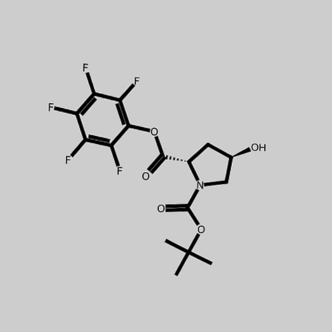 CC(C)(C)OC(=O)N1C[C@H](O)C[C@H]1C(=O)Oc1c(F)c(F)c(F)c(F)c1F